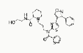 O=C(NCCO)[C@@H]1CCCCN1CCCN(C(=O)c1cccs1)c1nc(-c2conc2-c2ccccc2)cs1